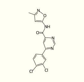 Cc1cc(NC(=O)c2cc(-c3ccc(Cl)c(Cl)c3)ncn2)on1